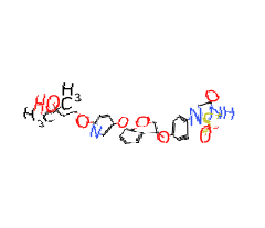 CC(C)(O)CCOc1ccc(Oc2cccc3c2OC[C@H]3Oc2ccc(N3CC(=O)N[S+]3[O-])cc2)cn1